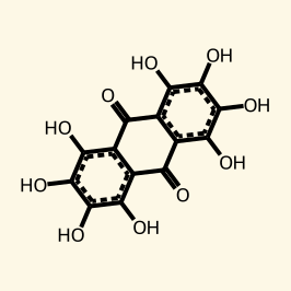 O=C1c2c(O)c(O)c(O)c(O)c2C(=O)c2c(O)c(O)c(O)c(O)c21